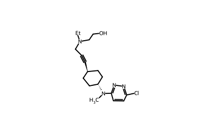 CCN(CC#C[C@H]1CC[C@H](N(C)c2ccc(Cl)nn2)CC1)CCO